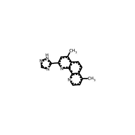 Cc1ccnc2c1ccc1c(C)cc(-c3ncn[nH]3)nc12